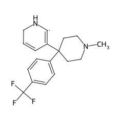 CN1CCC(C2=[C]NCC=C2)(c2ccc(C(F)(F)F)cc2)CC1